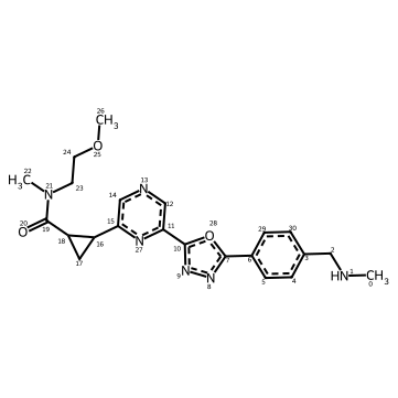 CNCc1ccc(-c2nnc(-c3cncc(C4CC4C(=O)N(C)CCOC)n3)o2)cc1